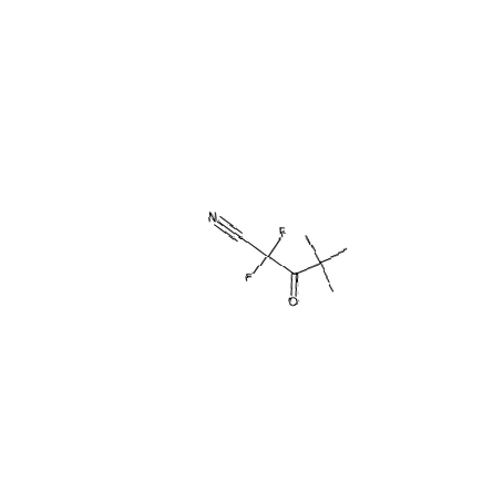 CC(C)(C)C(=O)C(F)(F)C#N